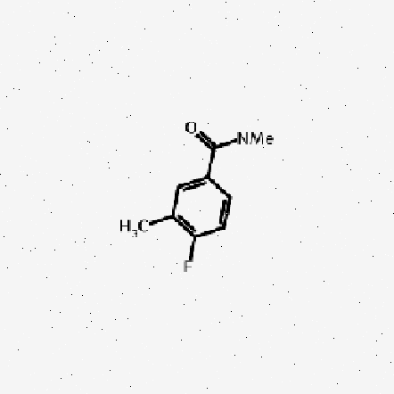 CNC(=O)c1ccc(F)c(C)c1